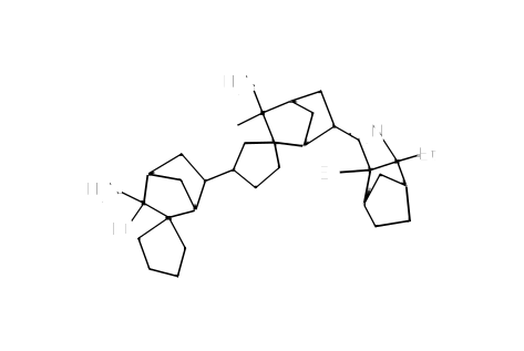 CCC1(N)C2CCC(C2)C1(CC)CC1CC2CC1C1(CCC(C3CC4CC3C3(CCCC3)C4(N)CC)C1)C2(C)N